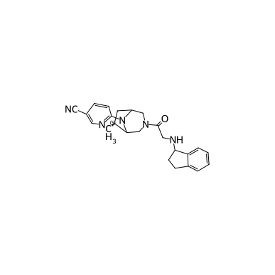 C[C@H]1CC2CN(C(=O)CNC3CCc4ccccc43)CC1N2c1ccc(C#N)cn1